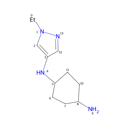 CCn1cc(NC2CCC(N)CC2)cn1